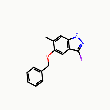 Cc1cc2[nH]nc(I)c2cc1OCc1ccccc1